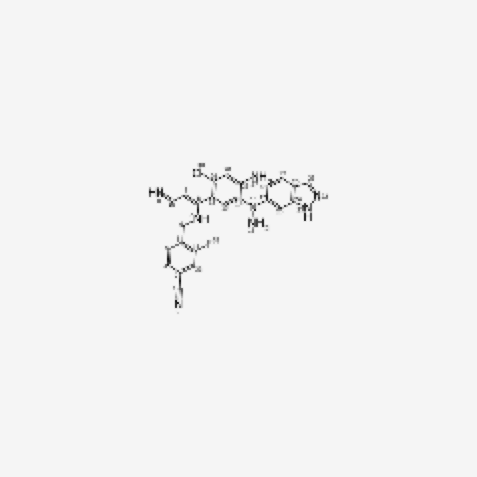 N#Cc1ccc(CN/C(=C\C=N)c2cc(N(N)c3ccc4cn[nH]c4c3)c(N)cc2Cl)c(F)c1